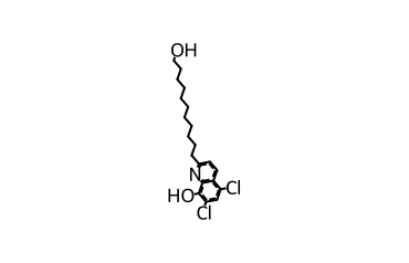 OCCCCCCCCCCCc1ccc2c(Cl)cc(Cl)c(O)c2n1